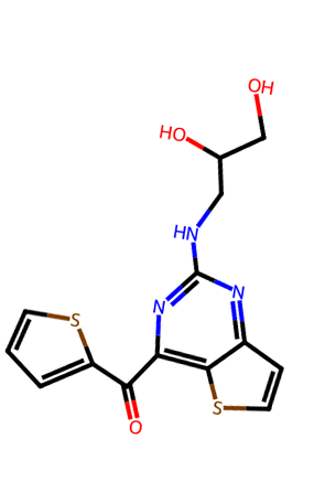 O=C(c1cccs1)c1nc(NCC(O)CO)nc2ccsc12